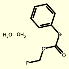 O.O.O=C([B]c1ccccc1)OCF